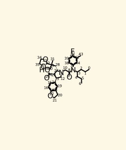 CCCC(CCC)N(C(=O)CN1C[C@H](c2ccc3c(c2)CCO3)[C@@H](C(=O)O)[C@@H]1CC(C)(C)C1OCCO1)c1ccc(F)c(C)c1